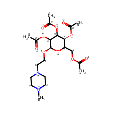 CC(=O)OCC1O[C@@H](OCCN2CCN(C)CC2)C(OC(C)=O)C(OC(C)=O)[C@@H]1OC(C)=O